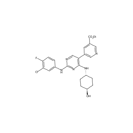 CCOC(=O)c1cncc(-c2cnc(Nc3ccc(F)c(Cl)c3)nc2N[C@H]2CC[C@H](O)CC2)c1